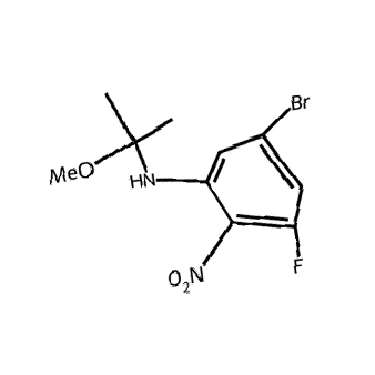 COC(C)(C)Nc1cc(Br)cc(F)c1[N+](=O)[O-]